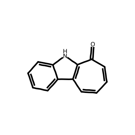 O=c1ccccc2c1[nH]c1ccccc12